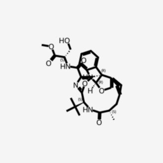 COC(=O)[C@H](CO)NC(=O)c1nc2oc1[C@@]13c4ccccc4N[C@@H]1Oc1ccc(cc13)C[C@H](C)C(=O)N[C@H]2C(C)(C)C